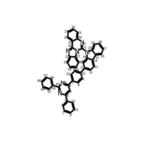 c1ccc(-c2cc(-c3ccc(-c4ccc5c6ccccc6n(-c6nc7ccccc7c7nc8ccccc8n67)c5c4)cc3)nc(-c3ccccc3)n2)cc1